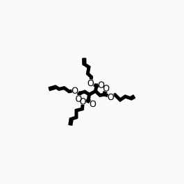 C=CCCCOC(=O)CC(C(=O)OCCCC=C)C(CC(=O)OCCCC=C)C(=O)OCCCC=C